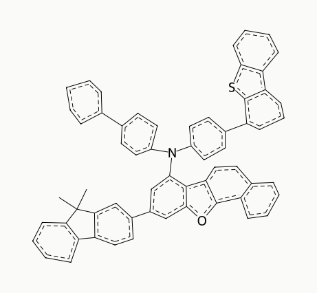 CC1(C)c2ccccc2-c2ccc(-c3cc(N(c4ccc(-c5ccccc5)cc4)c4ccc(-c5cccc6c5sc5ccccc56)cc4)c4c(c3)oc3c5ccccc5ccc34)cc21